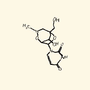 CN1CC2(CO)OC(n3ccc(=O)[nH]c3=O)C(O1)C2O